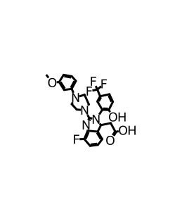 COc1cccc(N2CCN(C3=Nc4c(F)cccc4C(CC(=O)O)N3c3cc(C(F)(F)F)ccc3O)CC2)c1